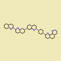 c1ccc2nc(-c3ccc4ccc(-c5ccc6ccc(-c7ccc(-c8ccc9ccc%10cccnc%10c9n8)cc7)nc6c5)cc4n3)ccc2c1